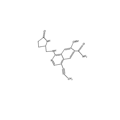 CC#Cc1cnc(NCC2CCC(=O)N2)c2cc(OC)c(C(N)=O)cc12